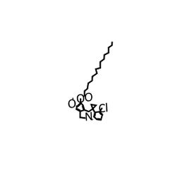 CCCCCCCCCCCCCCCC(=O)Oc1cc2c(cc1OC)CCN(C)C2C1(c2ccccc2Cl)CC1